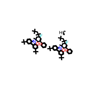 CC(C)(C)CC(C)(C)C1(F)C=C(c2ccccc2)C(O)C(C)(n2c3ccc(C(C)(C)C)cc3c3cc(C(C)(C)C)ccc32)C1.CC(C)(C)CC(C)(C)C1(F)C=C(c2ccccc2)C(O)C(C)(n2c3ccc(C(C)(C)C)cc3c3cc(C(C)(C)C)ccc32)C1.[CH3][Hf][CH3]